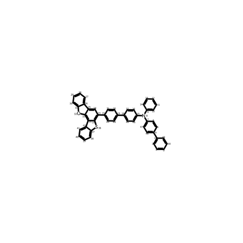 c1ccc(-c2ccc(N(c3ccccc3)c3ccc(-c4ccc(-c5cc6c7ccccc7oc6c6c5sc5ccccc56)cc4)cc3)cc2)cc1